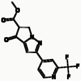 COC(=O)C1Cn2nc(-c3ccnc(C(F)(F)F)c3)cc2C1=O